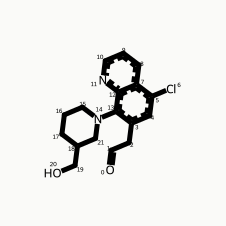 O=CCc1cc(Cl)c2cccnc2c1N1CCCC(CO)C1